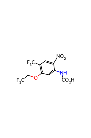 O=C(O)Nc1cc(OCC(F)(F)F)c(C(F)(F)F)cc1[N+](=O)[O-]